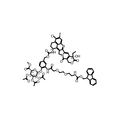 CC[C@@]1(O)C(=O)OCc2c1cc1n(c2=O)Cc2c-1nc1cc(F)c(Cl)c3c1c2[C@@H](NC(=O)OCc1ccc(O[C@@H]2O[C@H](C(=O)OC)[C@@H](OC(C)=O)[C@H](OC(C)=O)[C@H]2OC(C)=O)c(NC(=O)COCCOCCNC(=O)OCC2c4ccccc4-c4ccccc42)c1)CC3